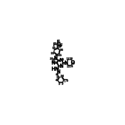 Cc1cccc(C=NNc2nc(N3CCOCC3)nc3c2ncn3-c2ccc(C(F)(F)F)cc2)c1